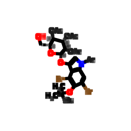 CC(=O)O[C@@H]1[C@@H](OC(C)=O)[C@H](Oc2cn(C(C)=O)c3cc(Br)c(O[Si](C)(C)C(C)(C)C)c(Br)c23)O[C@H](CO)[C@H]1OC(C)=O